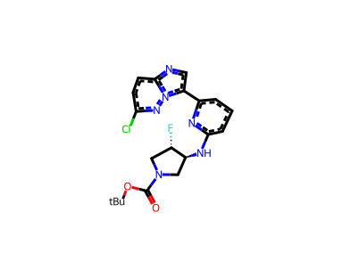 CC(C)(C)OC(=O)N1C[C@H](Nc2cccc(-c3cnc4ccc(Cl)nn34)n2)[C@@H](F)C1